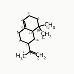 C=C(C)C1CCC2=CCCC(C)(C)C2C1